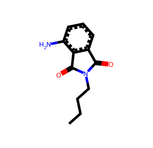 CCCCN1C(=O)c2cccc(N)c2C1=O